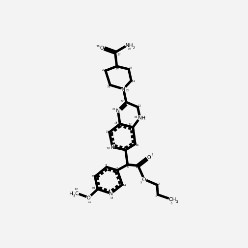 CCCOC(=O)C(c1ccc(OC)nc1)c1cc2c(cn1)N=C(N1CCC(C(N)=O)CC1)CN2